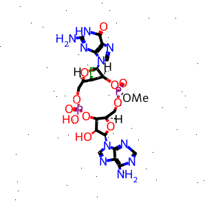 COP1(=O)OC[C@H]2O[C@@H](n3cnc4c(N)ncnc43)[C@@H](O)C2OP(=O)(O)OC[C@H]2O[C@@H](n3cnc4c(=O)[nH]c(N)nc43)[C@@H](O1)C2F